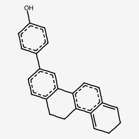 Oc1ccc(-c2ccc3c(c2)-c2ccc4c(c2CC3)=CCCC=4)cc1